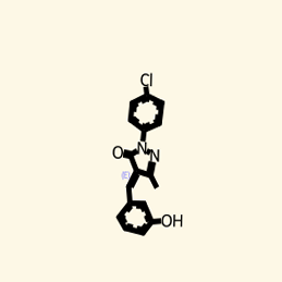 CC1=NN(c2ccc(Cl)cc2)C(=O)/C1=C/c1cccc(O)c1